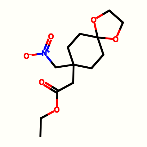 CCOC(=O)CC1(C[N+](=O)[O-])CCC2(CC1)OCCO2